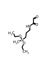 CCO[Si](C)(CCCNC(=O)C=O)OCC